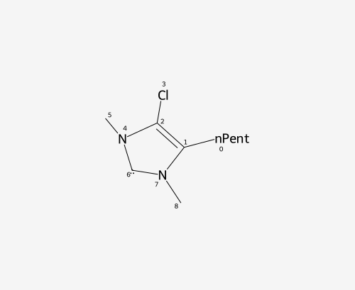 CCCCCC1=C(Cl)N(C)[C]N1C